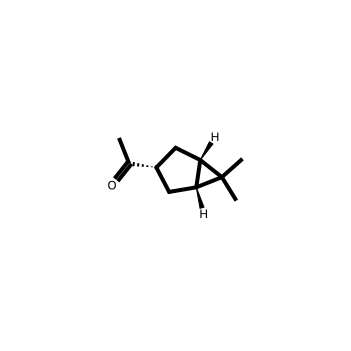 CC(=O)[C@H]1C[C@@H]2[C@H](C1)C2(C)C